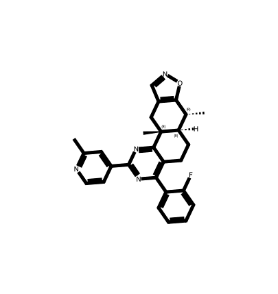 Cc1cc(-c2nc(-c3ccccc3F)c3c(n2)[C@]2(C)Cc4cnoc4[C@H](C)[C@H]2CC3)ccn1